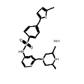 Cc1ccc(-c2ccc(S(=O)(=O)Nc3ccnc(N4CC(C)NC(C)C4)c3)cc2)o1.Cl